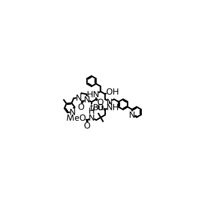 COC(=O)NCC(C)(C)CC(=O)NN(Cc1ccc(-c2ccccn2)cc1)CC(O)C(Cc1ccccc1)NC(=O)C(N1CCN(Cc2cnccc2C)C1=O)C(C)(C)C